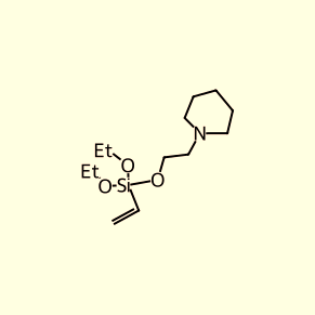 C=C[Si](OCC)(OCC)OCCN1CCCCC1